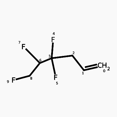 C=CCC(F)(F)C(F)CF